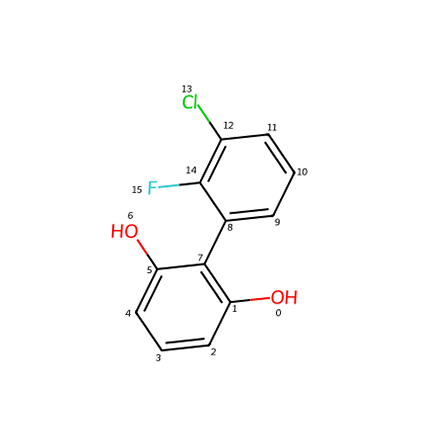 Oc1cccc(O)c1-c1cccc(Cl)c1F